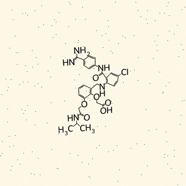 CC(C)NC(=O)COc1cccc(CNc2ccc(Cl)cc2C(=O)Nc2ccc(C(=N)N)cc2)c1OCC(=O)O